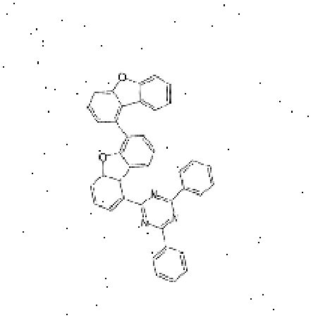 C1=CC2Oc3c(-c4cccc5oc6ccccc6c45)cccc3C2C(c2nc(-c3ccccc3)nc(-c3ccccc3)n2)=C1